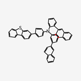 c1cc(-c2ccc3ccccc3c2)cc(N(c2ccc(-c3ccc4c(c3)sc3ccccc34)cc2)c2ccccc2-c2ccc3ccccc3c2)c1